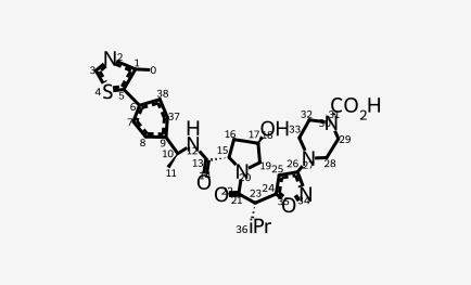 Cc1ncsc1-c1ccc([C@H](C)NC(=O)[C@@H]2C[C@@H](O)CN2C(=O)[C@H](c2cc(N3CCN(C(=O)O)CC3)no2)C(C)C)cc1